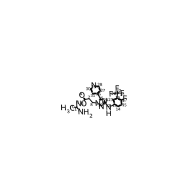 C/C(N)=N/OC(=O)CCn1nc(Nc2ccc(F)c(C(F)(F)F)c2)nc1-c1ccncc1